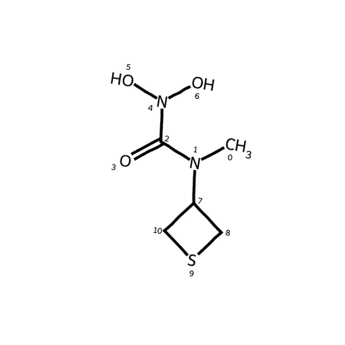 CN(C(=O)N(O)O)C1CSC1